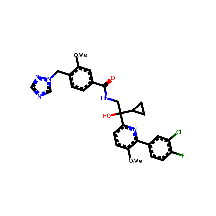 COc1cc(C(=O)NCC(O)(c2ccc(OC)c(-c3ccc(F)c(Cl)c3)n2)C2CC2)ccc1Cn1cncn1